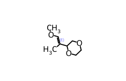 CO/C=C(\C)C1COCCO1